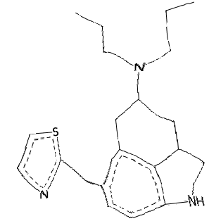 CCCN(CCC)C1Cc2c(-c3nccs3)ccc3c2C(CN3)C1